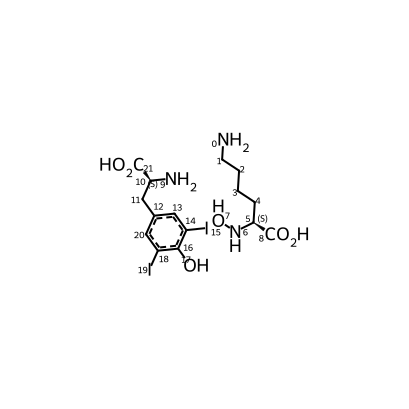 NCCCC[C@H](NO)C(=O)O.N[C@@H](Cc1cc(I)c(O)c(I)c1)C(=O)O